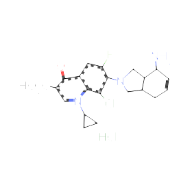 Cl.NC1C=CCC2CN(c3c(F)cc4c(=O)c(C(=O)O)cn(C5CC5)c4c3Cl)CC12